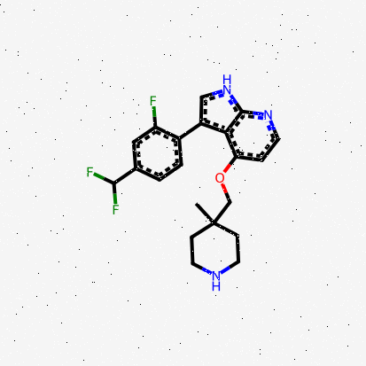 CC1(COc2ccnc3[nH]cc(-c4ccc(C(F)F)cc4F)c23)CCNCC1